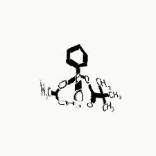 CC(C)OP(=O)(OC(=O)C(C)(C)C)c1ccccc1